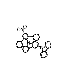 O=[N+]([O-])c1cc(-c2ccccc2)c(-n2c3ccccc3c3cc(-n4c5ccccc5c5ccccc54)ccc32)c(-c2ccccc2)c1